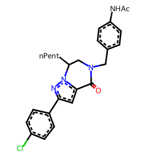 CCCCCC1CN(Cc2ccc(NC(C)=O)cc2)C(=O)c2cc(-c3ccc(Cl)cc3)nn21